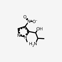 CC(N)C(O)c1c([N+](=O)[O-])cnn1C